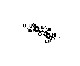 Br.CCOc1cc2c(cc1C(N)=O)C(=N)N(CC(=O)c1ccc(N(CC(=O)O)C(C)=O)c(C(C)(C)C)c1)C2